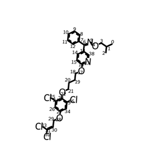 CC(C)CON=C(c1ccccc1)c1ccc(OCCCCOc2c(Cl)cc(OCC=C(Cl)Cl)cc2Cl)nc1